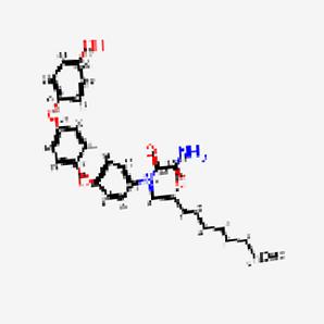 CCCCCCCCCCCCCCCCCCN(C(=O)C(N)=O)c1ccc(Oc2ccc(Oc3ccc(O)cc3)cc2)cc1